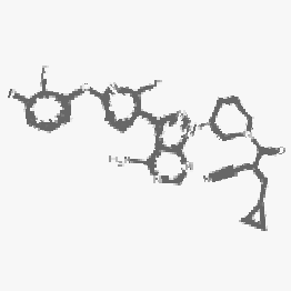 N#CC(=CC1CC1)C(=O)N1CCC[C@@H](n2nc(-c3ccc(Oc4cccc(F)c4F)nc3F)c3c(N)ncnc32)C1